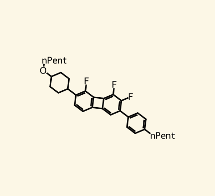 CCCCCOC1CCC(c2ccc3c(c2F)-c2c-3cc(-c3ccc(CCCCC)cc3)c(F)c2F)CC1